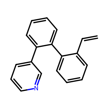 C=Cc1ccccc1-c1ccccc1-c1cccnc1